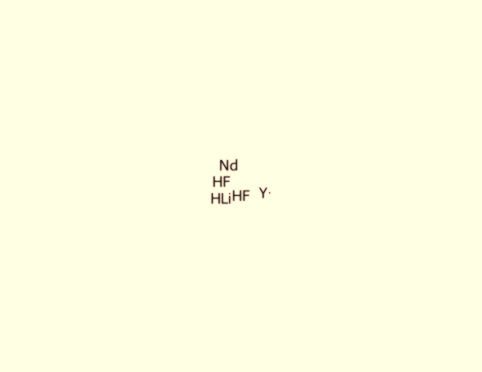 F.F.[LiH].[Nd].[Y]